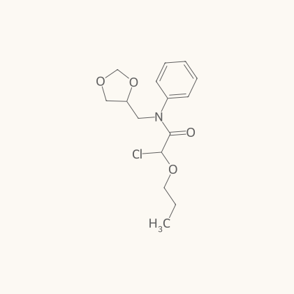 CCCOC(Cl)C(=O)N(CC1COCO1)c1ccccc1